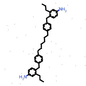 CCCc1cc(N)ccc1Cc1ccc(CCCCCCc2ccc(Cc3ccc(N)cc3CCC)cc2)cc1